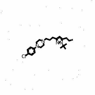 CCCc1cc(CCCN2CCN(c3ccc(Cl)cc3)CC2)nn1C(C)(C)C